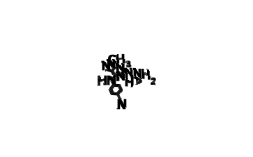 Cn1ncc2c(Nc3ccc(C#N)cc3)nc(NCC3(N)CC3)nc21